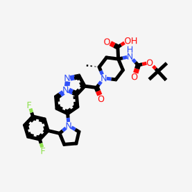 C[C@@H]1CC(NC(=O)OC(C)(C)C)(C(=O)O)CCN1C(=O)c1cnn2ccc(N3CCCC3c3cc(F)ccc3F)cc12